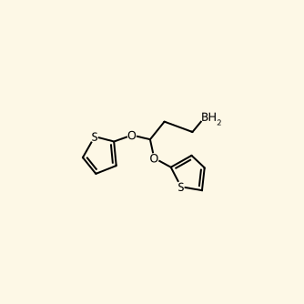 BCCC(Oc1cccs1)Oc1cccs1